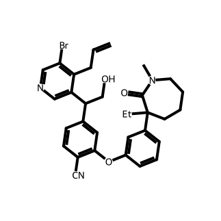 C=CCc1c(Br)cncc1C(CO)c1ccc(C#N)c(Oc2cccc(C3(CC)CCCCN(C)C3=O)c2)c1